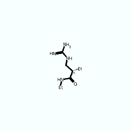 CCNC(=O)[C@@H](CC)CNC(=N)N